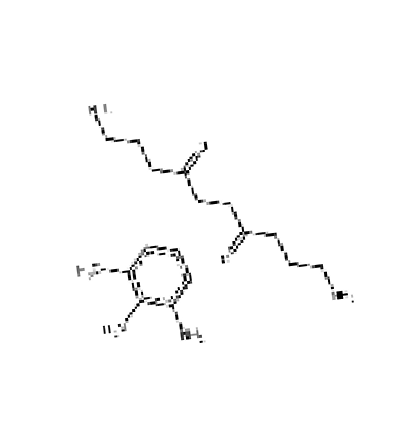 Cc1cccc(N)c1N.NCCCC(=O)CCC(=O)CCCN